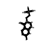 Cc1ccc2c(=O)n(CCS(C)(=O)=O)cnc2c1